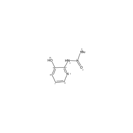 CC(C)(C)C(=O)Nc1ncccc1O